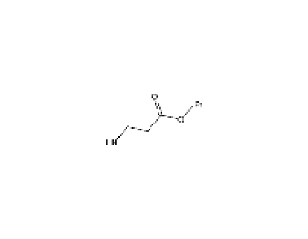 CC(C)OC(=O)CC[NH]